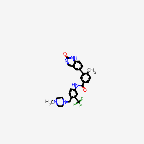 Cc1ccc(C(=O)Nc2ccc(CN3CCN(C)CC3)c(C(F)(F)F)c2)cc1-c1ccc2[nH]c(=O)ncc2c1